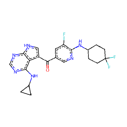 O=C(c1cnc(NC2CCC(F)(F)CC2)c(F)c1)c1c[nH]c2ncnc(NC3CC3)c12